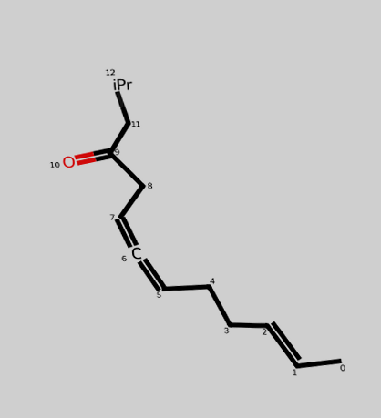 CC=CCCC=C=CCC(=O)CC(C)C